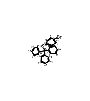 Brc1ccc(SC(c2ccccc2)(c2ccccc2)c2ccccc2)cc1